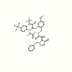 COC(=O)C[C@H](Cc1ccc(OC)cc1CN(Cc1ccc(C(F)(F)F)cc1)C(=O)OC(C)(C)C)C(=O)NN1C(=O)OC[C@H]1Cc1ccccc1